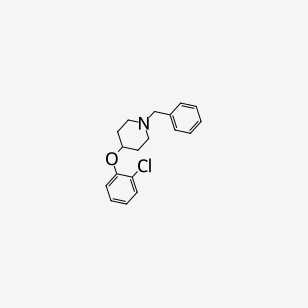 Clc1ccccc1OC1CCN(Cc2ccccc2)CC1